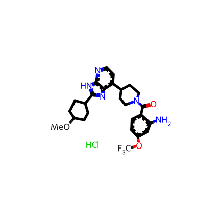 COC1CCC(c2nc3c(C4CCN(C(=O)c5ccc(OC(F)(F)F)cc5N)CC4)ccnc3[nH]2)CC1.Cl